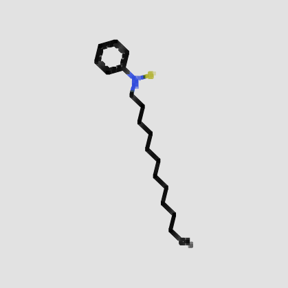 CCCCCCCCCCCC[NH+]([S-])c1ccccc1